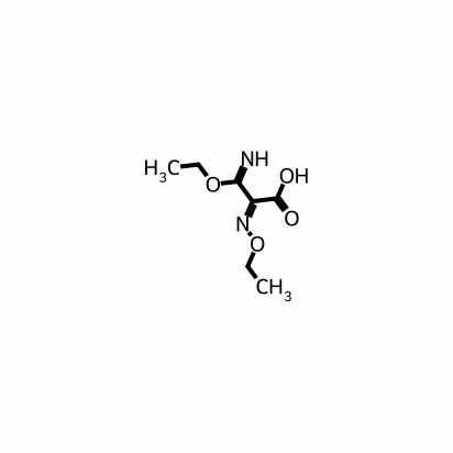 CCON=C(C(=N)OCC)C(=O)O